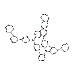 c1ccc(-c2cccc(-c3ccc(N(c4ccc(-c5ccc6ccccc6c5)cc4)c4ccc(-c5ccccc5-n5c6ccc(-c7ccccc7)cc6c6cc(-c7ccccc7)ccc65)cc4)cc3)c2)cc1